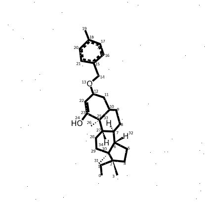 CC[C@@]1(C)CC[C@H]2[C@@H]3CCC4CC(OCc5ccc(C)cc5)C=C(O)[C@]4(C)[C@H]3CC[C@@]21C